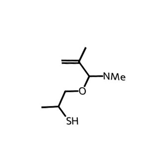 C=C(C)C(NC)OCC(C)S